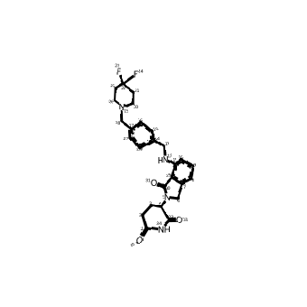 O=C1CCC(N2Cc3cccc(NCc4ccc(CN5CCC(F)(F)CC5)cc4)c3C2=O)C(=O)N1